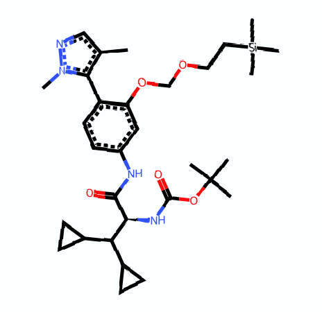 Cc1cnn(C)c1-c1ccc(NC(=O)[C@@H](NC(=O)OC(C)(C)C)C(C2CC2)C2CC2)cc1OCOCC[Si](C)(C)C